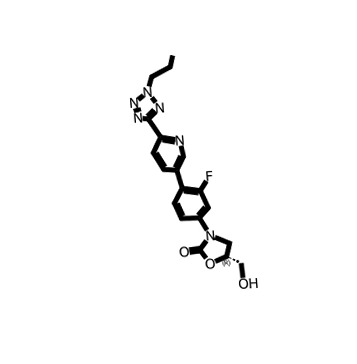 CCCn1nnc(-c2ccc(-c3ccc(N4C[C@H](CO)OC4=O)cc3F)cn2)n1